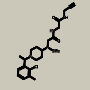 C#CCNC(=O)CNC(=O)CN(SC)C1CCN(C(C)c2cccc(C)c2Cl)CC1